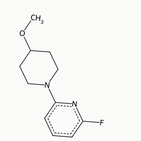 COC1CCN(c2cccc(F)n2)CC1